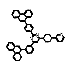 C1=Cc2c(c(-c3cccc(-c4cc(C5C=CC(c6cccnc6)CC5)nc(-c5ccc(-c6cc7ccccc7c7ccccc67)cc5)n4)c3)cc3ccccc23)CC1